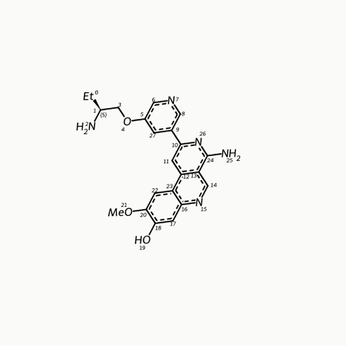 CC[C@H](N)COc1cncc(-c2cc3c(cnc4cc(O)c(OC)cc43)c(N)n2)c1